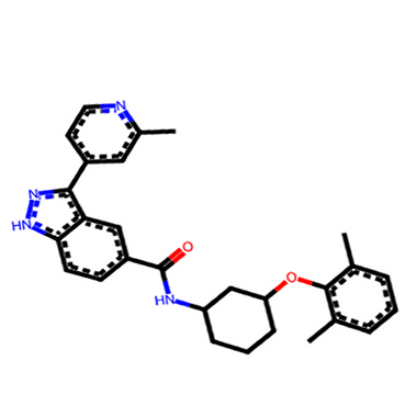 Cc1cc(-c2n[nH]c3ccc(C(=O)NC4CCCC(Oc5c(C)cccc5C)C4)cc23)ccn1